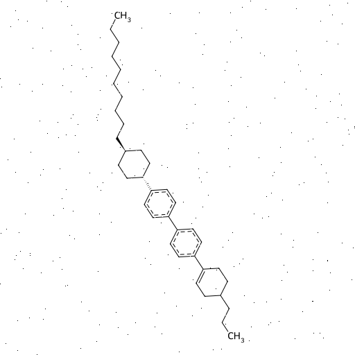 CCCCCCCCCC[C@H]1CC[C@H](c2ccc(-c3ccc(C4=CCC(CCC)CC4)cc3)cc2)CC1